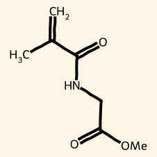 C=C(C)C(=O)NCC(=O)OC